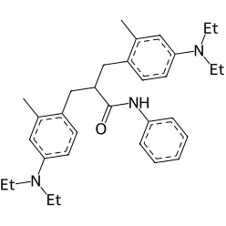 CCN(CC)c1ccc(CC(Cc2ccc(N(CC)CC)cc2C)C(=O)Nc2ccccc2)c(C)c1